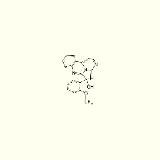 COc1ccccc1C1(O)N=C2N=CC=C3c4ccccc4N=C1N32